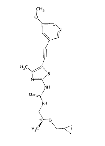 COc1cncc(C#Cc2sc(NC(=O)NC[C@H](C)OCC3CC3)nc2C)c1